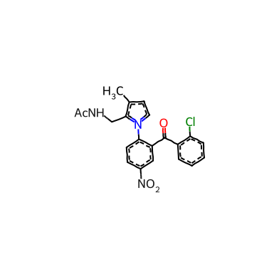 CC(=O)NCc1c(C)ccn1-c1ccc([N+](=O)[O-])cc1C(=O)c1ccccc1Cl